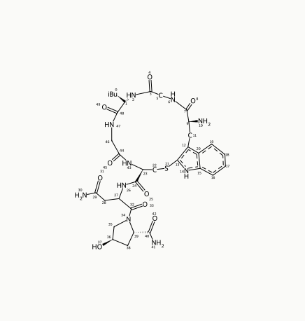 CC[C@H](C)[C@@H]1NC(=O)CNC(=O)[C@@H](N)Cc2c([nH]c3ccccc23)SC[C@@H](C(=O)NC(CC(N)=O)C(=O)N2C[C@H](O)C[C@H]2C(N)=O)NC(=O)CNC1=O